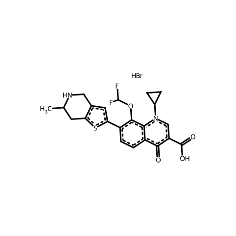 Br.CC1Cc2sc(-c3ccc4c(=O)c(C(=O)O)cn(C5CC5)c4c3OC(F)F)cc2CN1